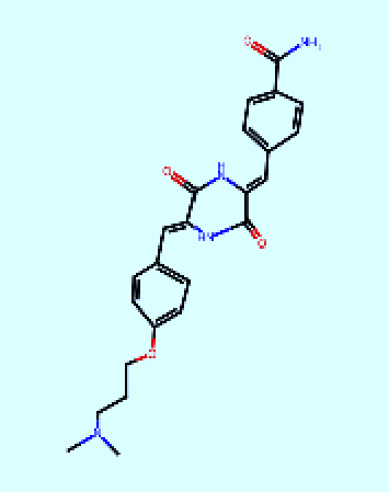 CN(C)CCCOc1ccc(/C=c2\[nH]c(=O)c(=Cc3ccc(C(N)=O)cc3)[nH]c2=O)cc1